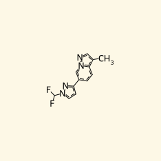 Cc1cnn2cc(-c3ccn(C(F)F)n3)ccc12